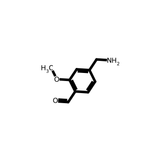 COc1cc(CN)ccc1C=O